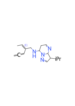 C=C=C/C(=C\C)CNC1CC=NC2C(C(C)C)C=NN12